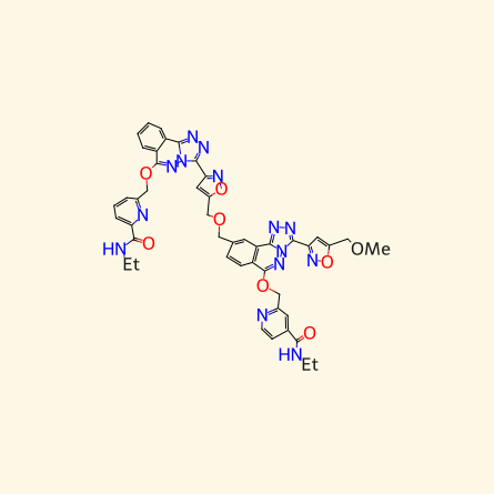 CCNC(=O)c1ccnc(COc2nn3c(-c4cc(COC)on4)nnc3c3cc(COCc4cc(-c5nnc6c7ccccc7c(OCc7cccc(C(=O)NCC)n7)nn56)no4)ccc23)c1